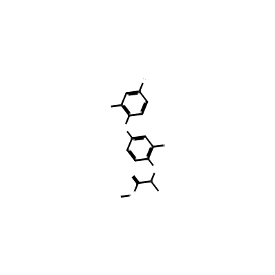 COC(=O)C(C)Oc1ccc(Oc2ccc(N)cc2F)cc1F